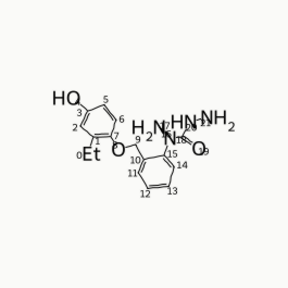 CCc1cc(O)ccc1OCc1ccccc1N(N)C(=O)NN